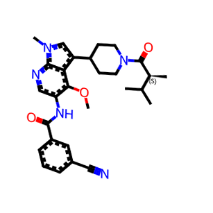 COc1c(NC(=O)c2cccc(C#N)c2)cnc2c1c(C1CCN(C(=O)[C@@H](C)C(C)C)CC1)cn2C